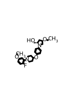 CCO[C@@H]1C[C@H](CO)N(c2ccc(OC3CCN(c4cc(OC)ccc4F)CC3)cc2)C1